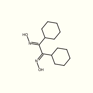 O/N=C(/C(=N/O)C1CCCCC1)C1CCCCC1